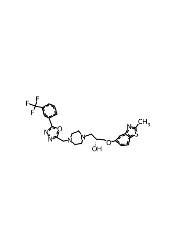 Cc1nc2cc(OC[C@H](O)CN3CCN(Cc4nnc(-c5cccc(C(F)(F)F)c5)o4)CC3)ccc2s1